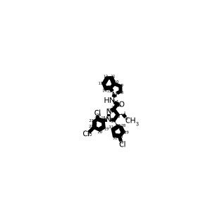 CC[C@H]1C(C(=O)NN2CCc3ccccc32)=NN(c2ccc(Cl)cc2Cl)[C@H]1c1ccc(Cl)cc1